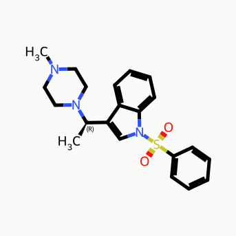 C[C@H](c1cn(S(=O)(=O)c2ccccc2)c2ccccc12)N1CCN(C)CC1